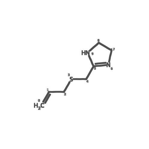 C=CCSCC1=N[CH]CN1